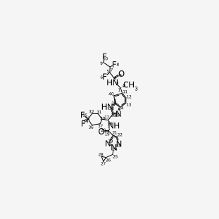 C[C@@H](NC(=O)C(F)C(F)CF)c1ccc2nc([C@@H](NC(=O)c3cnn(CC4CC4)n3)C3CCC(F)(F)CC3)[nH]c2c1